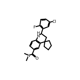 CN(C)C(=O)c1ccc2c(c1)C1(CCCC1)CC(c1cc(Cl)ccc1F)N2